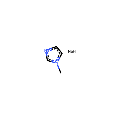 Cn1ccnc1.[NaH]